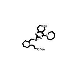 CSCCN1CCCCC1CNc1nc2c(c(N3CCCCCC3)n1)CNCC2